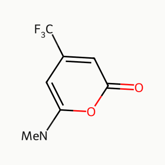 CNc1cc(C(F)(F)F)cc(=O)o1